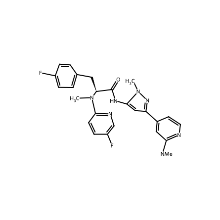 CNc1cc(-c2cc(NC(=O)[C@H](Cc3ccc(F)cc3)N(C)c3ccc(F)cn3)n(C)n2)ccn1